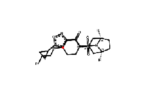 CC(C)CCNC1CCN(S(=O)(=O)N2[C@@H]3CC[C@H]2C[C@@H](NC(=O)c2cc(C4CC4)on2)C3)CC1